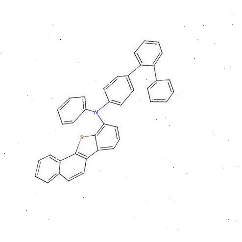 c1ccc(-c2ccccc2-c2ccc(N(c3ccccc3)c3cccc4c3sc3c5ccccc5ccc43)cc2)cc1